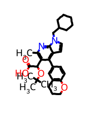 Cc1nc2c(ccn2CC2CCCCC2)c(-c2ccc3c(c2)CCCO3)c1C(OC(C)(C)C)C(=O)O